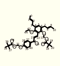 CC=CCc1cc(CC=CC)c(OCOC(=O)C(C)(C)C)c(C=CC(=O)c2ccc(OCOC(=O)C(C)(C)C)cc2)c1OCC